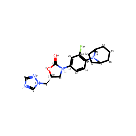 O=C1O[C@@H](Cn2cncn2)CN1c1ccc(N2C3CCCC2CC3)c(F)c1